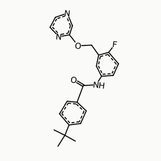 CC(C)(C)c1ccc(C(=O)Nc2ccc(F)c(COc3cnccn3)c2)cc1